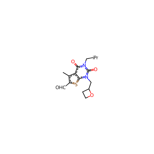 Cc1c(C=O)sc2c1c(=O)n(CC(C)C)c(=O)n2CC1CCO1